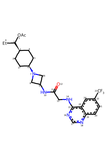 CCC(OC(C)=O)[C@H]1CC[C@@H](N2CC(NC(=O)CNc3ncnc4ccc(C(F)(F)F)cc34)C2)CC1